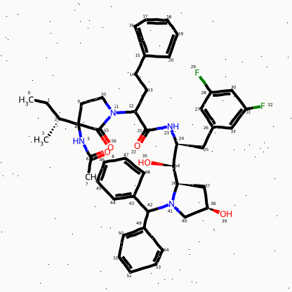 CC[C@@H](C)C1(NC(C)=O)CCN(C(CCc2ccccc2)C(=O)N[C@@H](Cc2cc(F)cc(F)c2)[C@H](O)[C@H]2C[C@@H](O)CN2C(c2ccccc2)c2ccccc2)C1=O